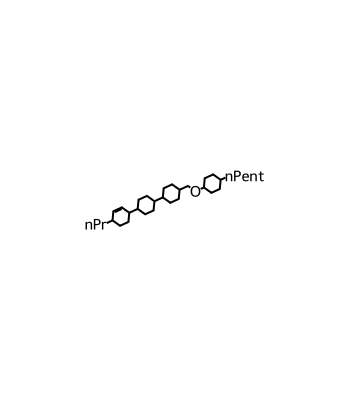 CCCCCC1CCC(OCC2CCC(C3CCC(C4C=CC(CCC)CC4)CC3)CC2)CC1